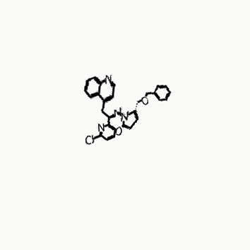 O=C1CC[C@@H](COCc2ccccc2)N1N=C(Cc1ccnc2ccccc12)c1cccc(Cl)n1